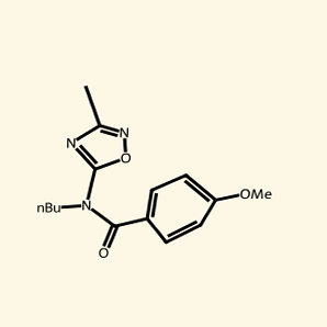 CCCCN(C(=O)c1ccc(OC)cc1)c1nc(C)no1